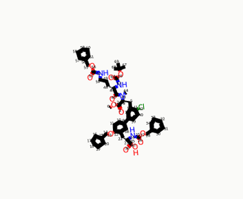 COC(=O)[C@H](Cc1cc(-c2ccc(OCc3ccccc3)c(C[C@H](NC(=O)OCc3ccccc3)C(=O)O)c2)ccc1Cl)N(C)C(=O)[C@H](CCCNC(=O)OCc1ccccc1)NC(=O)OC(C)(C)C